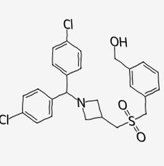 O=S(=O)(Cc1cccc(CO)c1)CC1CN(C(c2ccc(Cl)cc2)c2ccc(Cl)cc2)C1